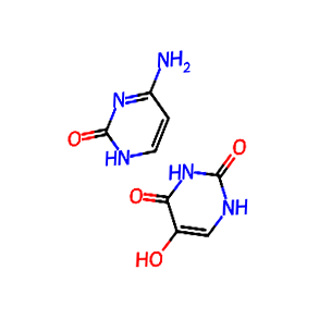 Nc1cc[nH]c(=O)n1.O=c1[nH]cc(O)c(=O)[nH]1